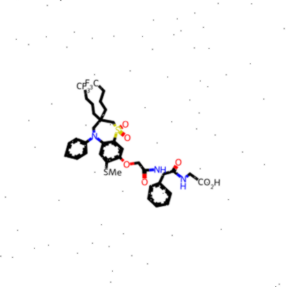 CSc1cc2c(cc1OCC(=O)NC(C(=O)NCC(=O)O)c1ccccc1)S(=O)(=O)CC(CCCC(F)(F)F)(CCCC(F)(F)F)CN2c1ccccc1